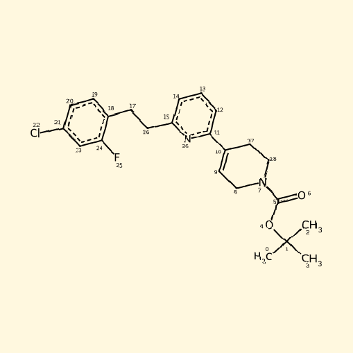 CC(C)(C)OC(=O)N1CC=C(c2cccc(CCc3ccc(Cl)cc3F)n2)CC1